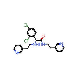 O=C(NCCc1cccnc1)C(NCCc1cccnc1)c1ccc(Cl)cc1Cl